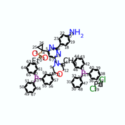 CCS(=O)(=O)C1(c2cc(N3CCOC[C@@H]3C)nc(-c3ccc(N)cc3)n2)CC1.[Cl][Pd][Cl].c1ccc(P(c2ccccc2)c2ccccc2)cc1.c1ccc(P(c2ccccc2)c2ccccc2)cc1